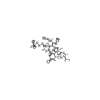 C=C(/C=C\C(Cl)=C/C)[C@@]1(C)N=C(c2ccc(C(C)(C)C)cc2OCC)N(C(=O)N2CCN(CCCS(C)(=O)=O)CC2)[C@@]1(C)c1ccc(Cl)cc1